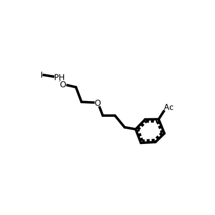 CC(=O)c1cccc(CCCOCCOPI)c1